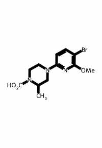 COc1nc(N2CCN(C(=O)O)C(C)C2)ccc1Br